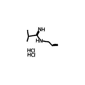 C=CCNC(=N)C(C)C.Cl.Cl